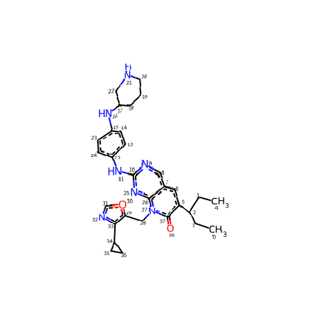 CCC(CC)c1cc2cnc(Nc3ccc(NC4CCCNC4)cc3)nc2n(Cc2ocnc2C2CC2)c1=O